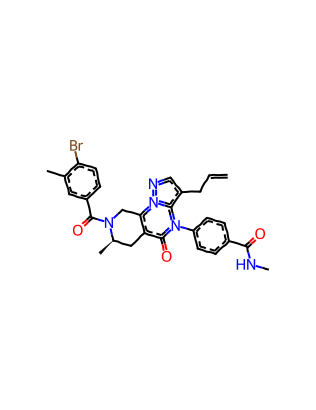 C=CCc1cnn2c3c(c(=O)n(-c4ccc(C(=O)NC)cc4)c12)C[C@@H](C)N(C(=O)c1ccc(Br)c(C)c1)C3